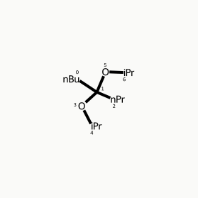 CCCCC(CCC)(OC(C)C)OC(C)C